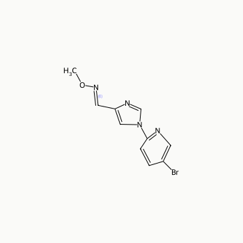 CO/N=C/c1cn(-c2ccc(Br)cn2)cn1